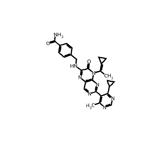 CC(=C1CC1)n1c(=O)c(NCc2ccc(C(N)=O)cc2)nc2cnc(-c3c(C)ncnc3C3CC3)nc21